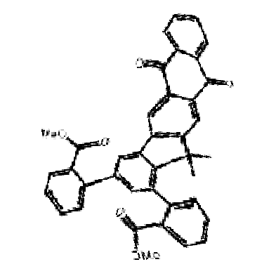 COC(=O)c1ccccc1-c1cc(-c2ccccc2C(=O)OC)c2c(c1)-c1cc3c(cc1C2(C)C)C(=O)c1ccccc1C3=O